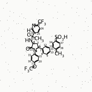 CC(C)(N[C@H]1C[C@@H](c2ccccc2)N(c2ccc(OC(F)(F)F)cc2)C1=O)c1ccc(C(F)(F)F)nc1.Cc1ccc(S(=O)(=O)O)cc1